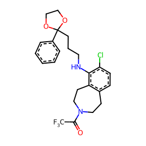 O=C(N1CCc2ccc(Cl)c(NCCCC3(c4ccccc4)OCCO3)c2CC1)C(F)(F)F